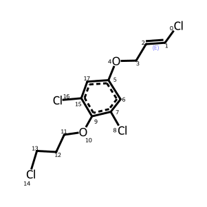 Cl/C=C/COc1cc(Cl)c(OCCCCl)c(Cl)c1